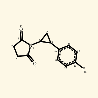 O=C1CCC(=O)N1C1CC1c1ccc(F)cc1